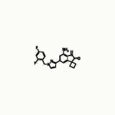 Nc1cc(-c2ccn(Cc3ccc(F)cc3F)n2)cc2c1NC(=O)C21CCC1